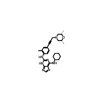 Cc1cc(C#CCN2C[C@@H](C)O[C@@H](C)C2)ccc1Nc1nc(NC2CCCCC2)c2ncnc-2[nH]1